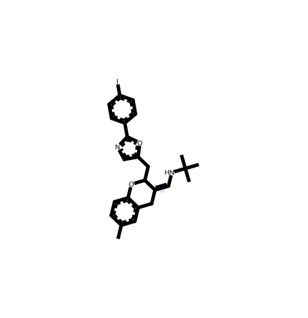 Cc1ccc2c(c1)C/C(=C/NC(C)(C)C)C(Cc1cnc(-c3ccc(I)cc3)o1)O2